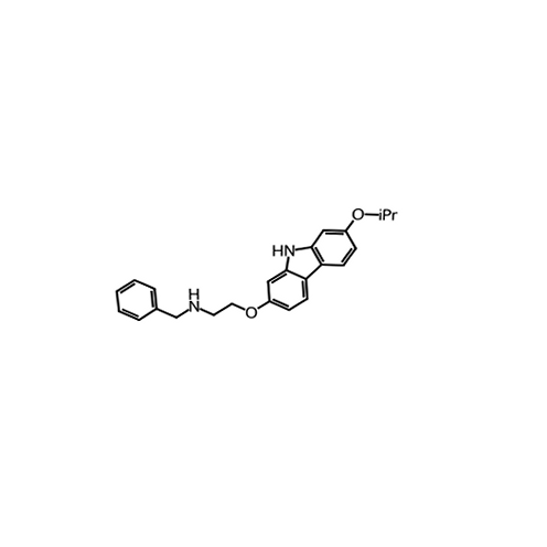 CC(C)Oc1ccc2c(c1)[nH]c1cc(OCCNCc3ccccc3)ccc12